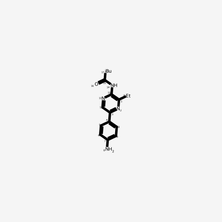 CCc1nc(-c2ccc(N)cc2)cnc1NC(=O)C(C)CC